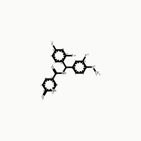 O=C(NC(c1ccc(OC(F)(F)F)c(F)c1)c1ccc(F)cc1F)c1ccc(=O)[nH]c1